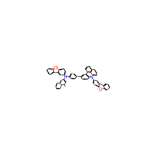 CC1C=C(N(c2ccc(-c3ccc(N(c4ccccc4)c4ccc5oc6ccccc6c5c4)c(-c4ccccc4)c3)cc2)c2ccc3oc4ccccc4c3c2)C=C2C=CC=CC21